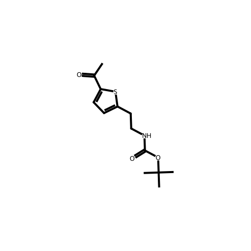 CC(=O)c1ccc(CCNC(=O)OC(C)(C)C)s1